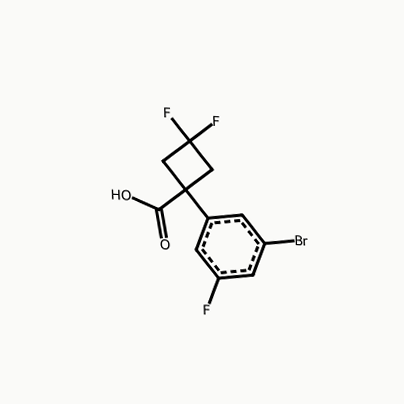 O=C(O)C1(c2cc(F)cc(Br)c2)CC(F)(F)C1